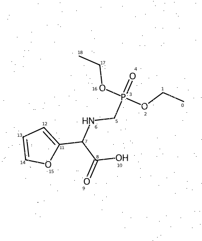 CCOP(=O)(CNC(C(=O)O)c1ccco1)OCC